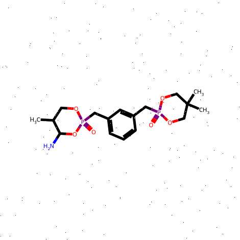 CC1COP(=O)(Cc2cccc(CP3(=O)OCC(C)(C)CO3)c2)OC1N